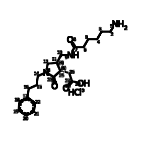 Cl.NCCCCCC(=O)NC[C@@H]1CN(CCCc2ccccc2)C(=O)[C@H]1CC(=O)O